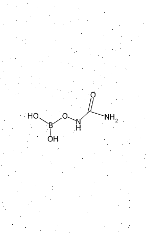 NC(=O)NOB(O)O